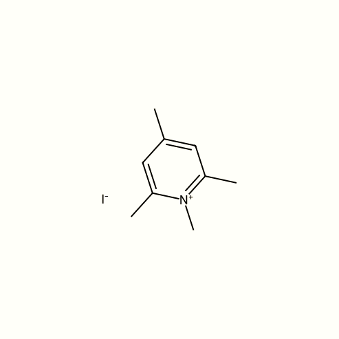 Cc1cc(C)[n+](C)c(C)c1.[I-]